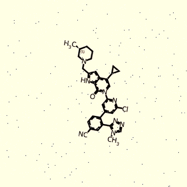 C[C@H]1CCCN(Cc2cc3c(C4CC4)cn(-c4cc(-c5ccc(C#N)cc5-c5nncn5C)cc(Cl)n4)c(=O)c3[nH]2)C1